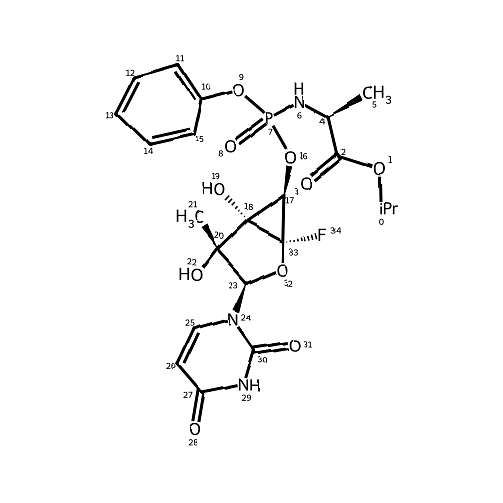 CC(C)OC(=O)[C@H](C)NP(=O)(Oc1ccccc1)O[C@@H]1[C@]2(O)[C@@](C)(O)[C@H](n3ccc(=O)[nH]c3=O)O[C@]12F